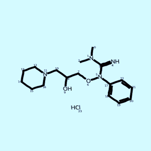 CN(C)C(=N)N(OCC(O)CN1CCCCC1)c1ccccc1.Cl